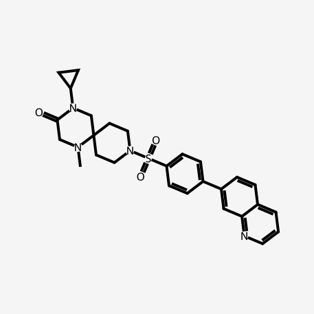 CN1CC(=O)N(C2CC2)CC12CCN(S(=O)(=O)c1ccc(-c3ccc4cccnc4c3)cc1)CC2